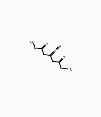 COC(=O)CC(=C=O)CC(=O)OC